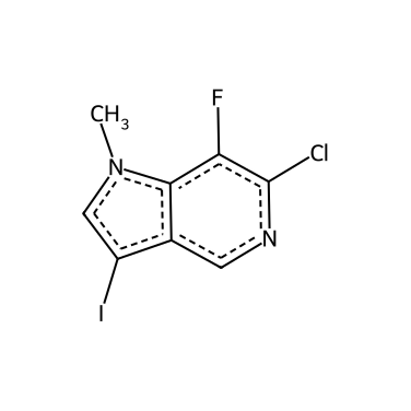 Cn1cc(I)c2cnc(Cl)c(F)c21